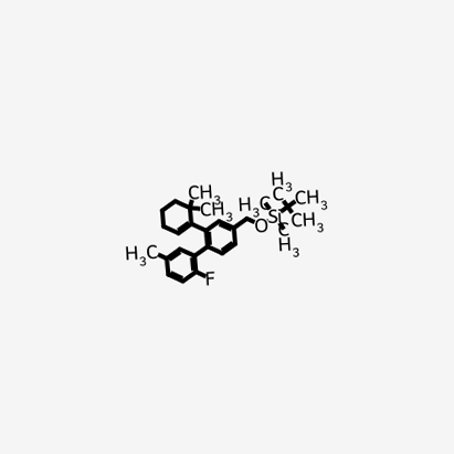 Cc1ccc(F)c(-c2ccc(CO[Si](C)(C)C(C)(C)C)cc2C2=CCCCC2(C)C)c1